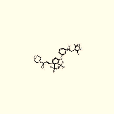 Cc1noc(C)c1CNc1cccc(Sc2ccc(C=CC(=O)N3CCOCC3)c(C(F)(F)F)c2C(F)(F)F)c1